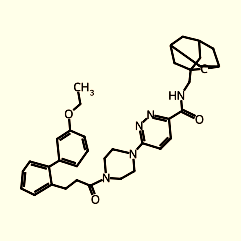 CCOc1cccc(-c2ccccc2CCC(=O)N2CCN(c3ccc(C(=O)NCC45CC6CC(CC(C6)C4)C5)nn3)CC2)c1